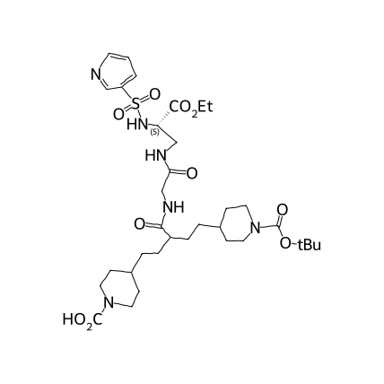 CCOC(=O)[C@H](CNC(=O)CNC(=O)C(CCC1CCN(C(=O)O)CC1)CCC1CCN(C(=O)OC(C)(C)C)CC1)NS(=O)(=O)c1cccnc1